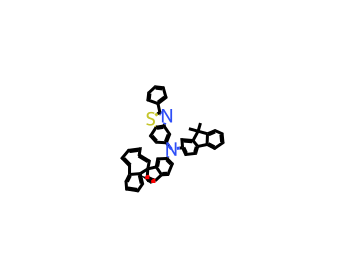 CC1(C)c2ccccc2-c2ccc(N(c3ccc4c(c3)C3(/C=C/C=C\C=C\c5ccccc53)c3ccccc3-4)c3ccc4sc(-c5ccccc5)nc4c3)cc21